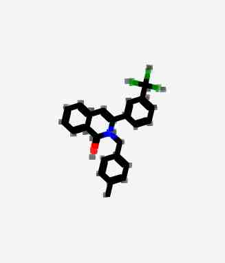 Cc1ccc(Cn2c(-c3cccc(C(F)(F)F)c3)cc3ccccc3c2=O)cc1